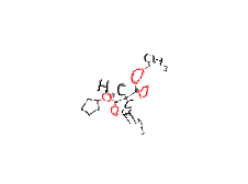 CCOC(=O)C(C)(C)C(=O)OC1CCCC1